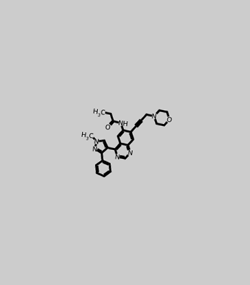 CCC(=O)Nc1cc2c(-c3cn(C)nc3-c3ccccc3)ncnc2cc1C#CCN1CCOCC1